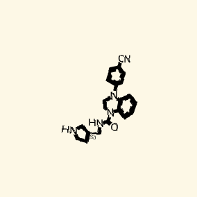 N#Cc1ccc(N2CCN(C(=O)NC[C@H]3CCNC3)c3ccccc32)cc1